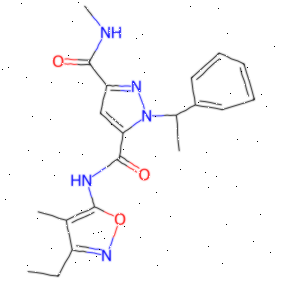 CCc1noc(NC(=O)c2cc(C(=O)NC)nn2C(C)c2ccccc2)c1C